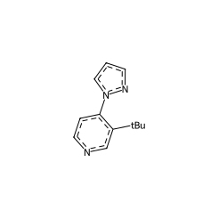 CC(C)(C)c1cnccc1-n1cccn1